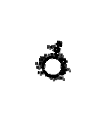 CO[C@H]1C[C@@H]2CC[C@@H](C)[C@@](O)(O2)C(=O)C(=O)N2CCCC[C@H]2C(=O)O[C@H]([C@H](C)C[C@@H]2CC[C@H](n3cnnn3)[C@H](OC)C2)CC(=O)[C@H](C)/C=C(/C)[C@@H](O)[C@@H](OC)C(=O)[C@H](C)C[C@H](C)/C=C/C=C\C=C\1C